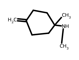 C=C1CCC(C)(NC)CC1